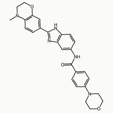 CN1CCOc2cc(-c3nc4cc(NC(=O)c5ccc(N6CCOCC6)cc5)ccc4[nH]3)ccc21